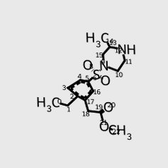 CCc1ccc(S(=O)(=O)N2CCNC(C)C2)cc1CC(=O)OC